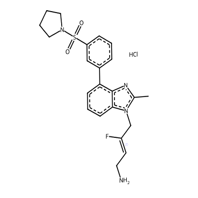 Cc1nc2c(-c3cccc(S(=O)(=O)N4CCCC4)c3)cccc2n1C/C(F)=C/CN.Cl